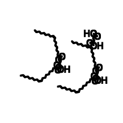 CCCCCCCC/C=C\CCCCCCCC(=O)OCC(CO)OC(=O)CCCCCCC/C=C\CCCCCCCC.CCCCCCCC/C=C\CCCCCCCC(=O)OCC(CO)OC(=O)CCCCCCC/C=C\CCCCCCCC.O=C(O)CCC(=O)O